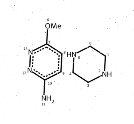 C1CNCCN1.COc1ccc(N)nn1